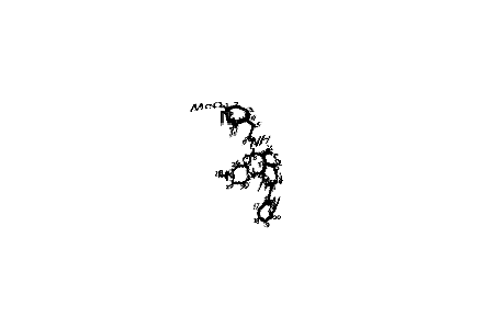 COc1ccc(CCNC(=O)c2csc3nc(-c4ccccn4)nc(N4CCN(C)CC4)c23)cn1